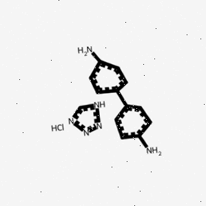 Cl.Nc1ccc(-c2ccc(N)cc2)cc1.c1nnn[nH]1